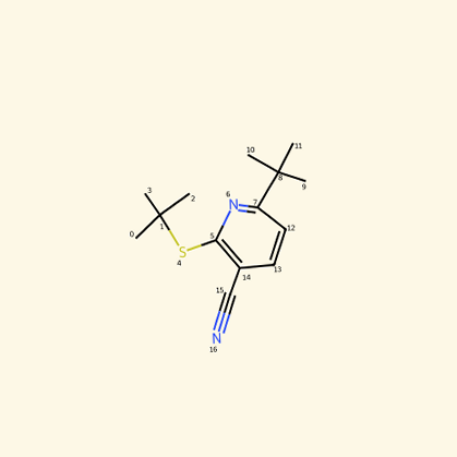 CC(C)(C)Sc1nc(C(C)(C)C)ccc1C#N